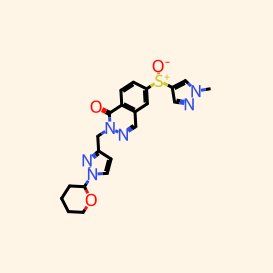 Cn1cc([S+]([O-])c2ccc3c(=O)n(Cc4ccn(C5CCCCO5)n4)ncc3c2)cn1